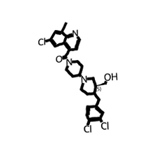 Cc1cc(Cl)cc2c(C(=O)N3CCC(N4CCC(Cc5ccc(Cl)c(Cl)c5)[C@H](CO)C4)CC3)ccnc12